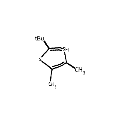 CC1=C(C)[SH]=C(C(C)(C)C)S1